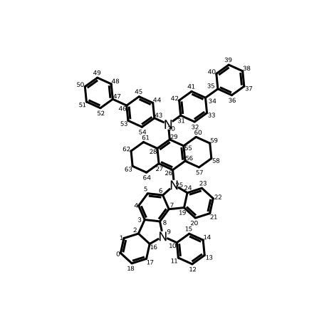 C1=CC2c3ccc4c(c3N(c3ccccc3)C2C=C1)c1ccccc1n4-c1c2c(c(N(c3ccc(-c4ccccc4)cc3)c3ccc(-c4ccccc4)cc3)c3c1CCCC3)CCCC2